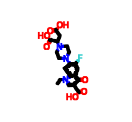 CCn1cc(C(=O)O)c(=O)c2cc(F)c(N3CCN(C(CC(=O)O)C(=O)O)CC3)cc21